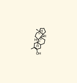 CC1=C(O)CC2CC[C@@H]3[C@H](CC[C@]4(C)CCC[C@@H]34)[C@H]2C1